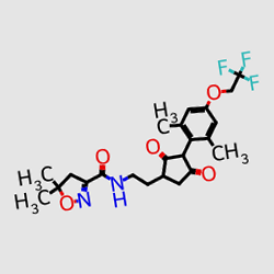 Cc1cc(OCC(F)(F)F)cc(C)c1C1C(=O)CC(CCNC(=O)C2=NOC(C)(C)C2)C1=O